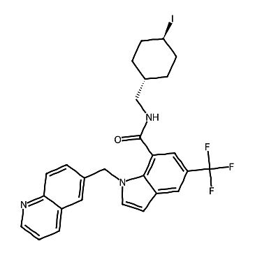 O=C(NC[C@H]1CC[C@H](I)CC1)c1cc(C(F)(F)F)cc2ccn(Cc3ccc4ncccc4c3)c12